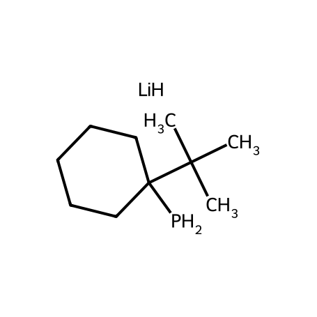 CC(C)(C)C1(P)CCCCC1.[LiH]